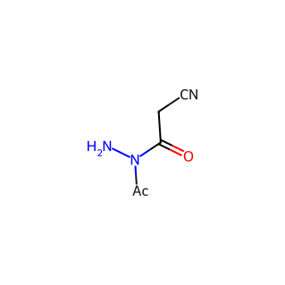 CC(=O)N(N)C(=O)CC#N